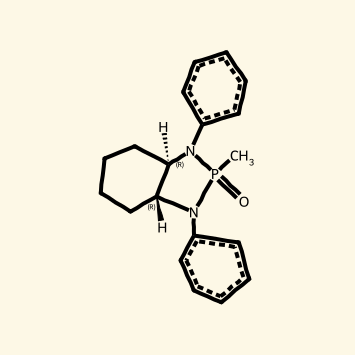 CP1(=O)N(c2ccccc2)[C@@H]2CCCC[C@H]2N1c1ccccc1